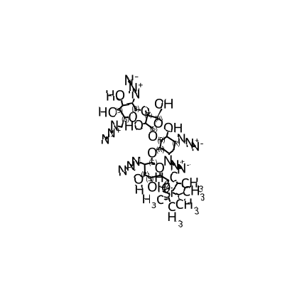 CC(C)[Si](OCC1O[C@H](O[C@@H]2C(N=[N+]=[N-])C[C@@H](N=[N+]=[N-])C(O)[C@H]2O[C@@H]2O[C@H](CO)[C@H](O[C@H]3O[C@@H](CN=[N+]=[N-])[C@@H](O)C(O)C3N=[N+]=[N-])C2O)C(N=[N+]=[N-])[C@@H](O)[C@@H]1O)(C(C)C)C(C)C